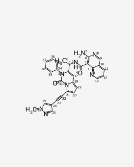 CC(NC(=O)c1c(N)ncc2cccnc12)c1cc2ccc(C#Cc3cnn(C)c3)n2c(=O)n1-c1ccccc1